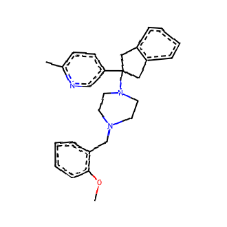 COc1ccccc1CN1CCN(C2(c3ccc(C)nc3)Cc3ccccc3C2)CC1